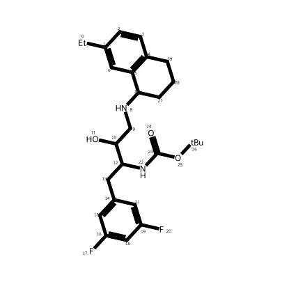 CCc1ccc2c(c1)C(NCC(O)C(Cc1cc(F)cc(F)c1)NC(=O)OC(C)(C)C)CCC2